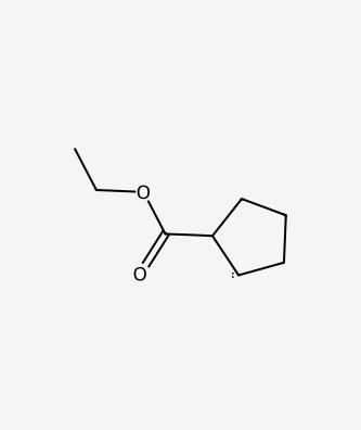 CCOC(=O)C1[C]CCC1